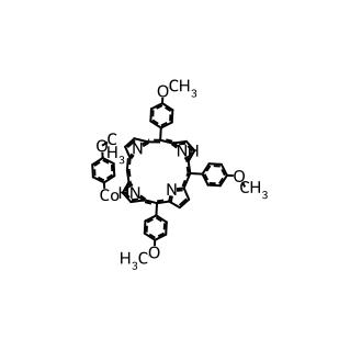 COc1cc[c]([Co])cc1.COc1ccc(-c2c3nc(c(-c4ccc(OC)cc4)c4ccc([nH]4)c(-c4ccc(OC)cc4)c4nc(cc5ccc2[nH]5)C=C4)C=C3)cc1